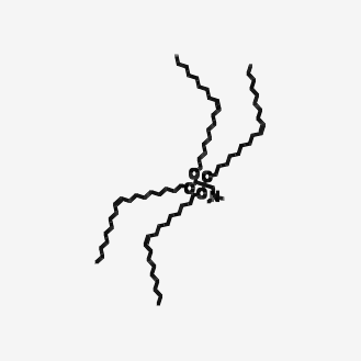 CCCCCCCC/C=C\CCCCCCCCOC(OCCCCCCCC/C=C\CCCCCCCC)C(CN(C)C)(OCCCCCCCC/C=C\CCCCCCCC)OCCCCCCCC/C=C\CCCCCCCC